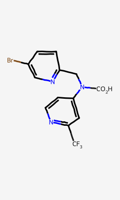 O=C(O)N(Cc1ccc(Br)cn1)c1ccnc(C(F)(F)F)c1